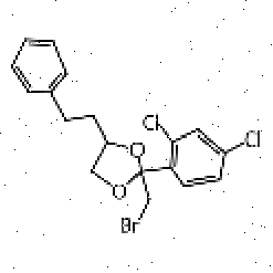 Clc1ccc(C2(CBr)OCC(CCc3ccccc3)O2)c(Cl)c1